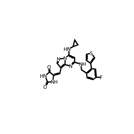 O=C1NC(=O)/C(=C\c2cnn3c(NC4CC4)cc(NCc4ccc(F)cc4-c4ccsc4)nc23)N1